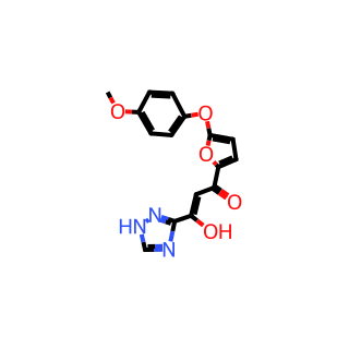 COc1ccc(Oc2ccc(C(=O)C=C(O)c3nc[nH]n3)o2)cc1